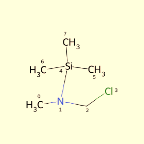 CN(CCl)[Si](C)(C)C